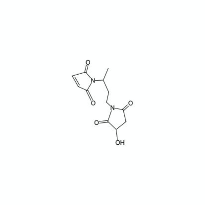 CC(CCN1C(=O)CC(O)C1=O)N1C(=O)C=CC1=O